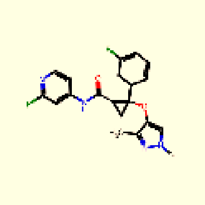 CCn1cc(O[C@@]2(C3C=CC=C(F)C3)C[C@H]2C(=O)Nc2ccnc(F)c2)c(C)n1